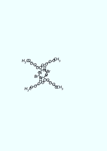 COCCOCCOCCOc1cc(OCCOCCOCCOC)cc(-c2c3nc(c(Br)c4ccc([nH]4)c(-c4cc(OCCOCCOCCOC)cc(OCCOCCOCCOC)c4)c4nc(c(Br)c5ccc2[nH]5)C=C4)C=C3)c1